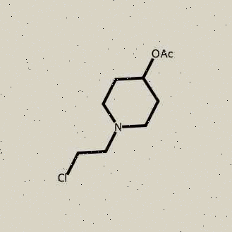 CC(=O)OC1CCN(CCCl)CC1